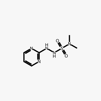 CN(C)S(=O)(=O)NNc1ncccn1